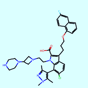 Cc1nn(C)c(C)c1-c1c(Cl)ccc2c(CCCOc3cccc4cc(F)ccc34)c(C(=O)O)n(CCN3CC(N4CCNCC4)C3)c12